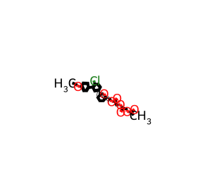 CCOc1ccc(-c2cc([C@@H]3CCC[C@H](COC(=O)COC(=O)COC(C)=O)O3)ccc2Cl)cc1